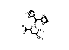 CC(C)CC(N)C(=O)O.O=C(c1nccs1)c1nccs1.[CaH2]